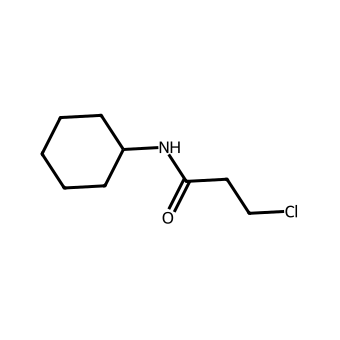 O=C(CCCl)NC1CCCCC1